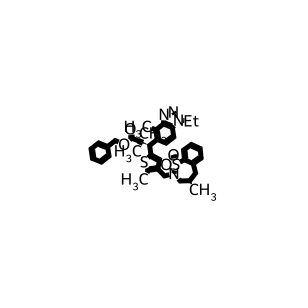 CCn1nnc2c(C)c([C@H](c3cc(CN4C[C@@H](C)Cc5ccccc5S4(=O)=O)c(C)s3)C(C)(C)C(=O)OCc3ccccc3)ccc21